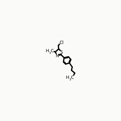 CCCCc1ccc(C2=NC(C)C(CCl)S2)cc1